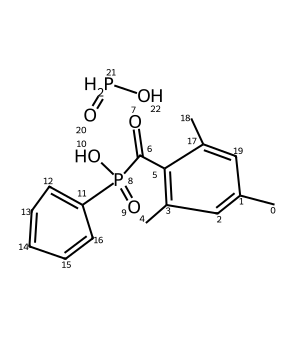 Cc1cc(C)c(C(=O)P(=O)(O)c2ccccc2)c(C)c1.O=[PH2]O